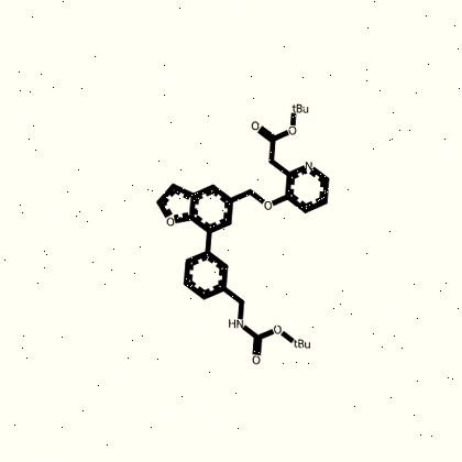 CC(C)(C)OC(=O)Cc1ncccc1OCc1cc(-c2cccc(CNC(=O)OC(C)(C)C)c2)c2occc2c1